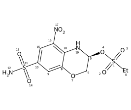 CCS(=O)(=O)O[C@H]1COc2cc(S(N)(=O)=O)cc([N+](=O)[O-])c2N1